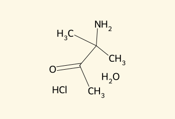 CC(=O)C(C)(C)N.Cl.O